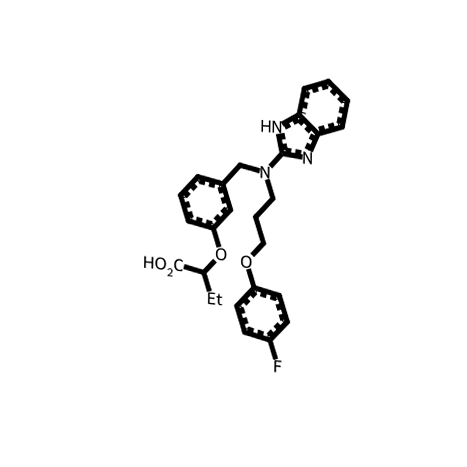 CCC(Oc1cccc(CN(CCCOc2ccc(F)cc2)c2nc3ccccc3[nH]2)c1)C(=O)O